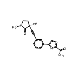 CN1CC[C@@](O)(C#Cc2cccc(-c3csc(C(N)=O)n3)c2)C1=O